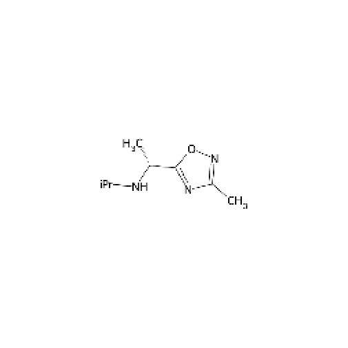 Cc1noc([C@@H](C)NC(C)C)n1